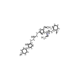 C=Nc1sc(CCNCCc2ncc(-c3ccc(F)cc3)[nH]2)nc1/C(=N\C)NCc1ncccc1F